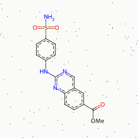 COC(=O)c1ccc2nc(Nc3ccc(S(N)(=O)=O)cc3)ncc2c1